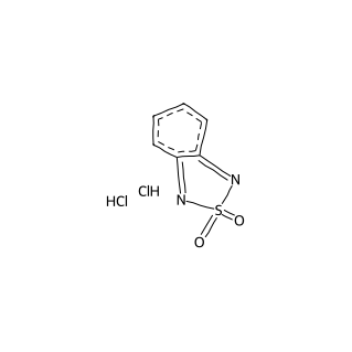 Cl.Cl.O=S1(=O)N=c2ccccc2=N1